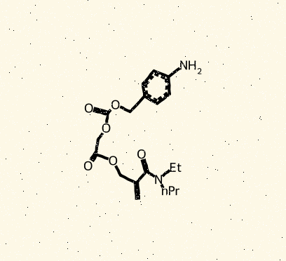 C=C(COC(=O)COC(=O)OCc1ccc(N)cc1)C(=O)N(CC)CCC